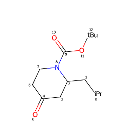 CC(C)CC1CC(=O)CCN1C(=O)OC(C)(C)C